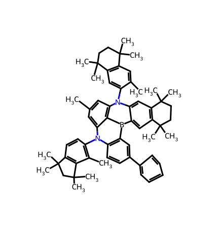 Cc1cc2c3c(c1)N(c1ccc4c(c1C)C(C)(C)CC4(C)C)c1ccc(-c4ccccc4)cc1B3c1cc3c(cc1N2c1cc2c(cc1C)C(C)(C)CCC2(C)C)C(C)(C)CCC3(C)C